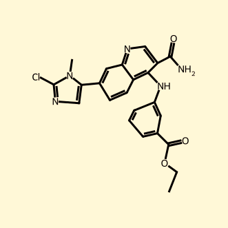 CCOC(=O)c1cccc(Nc2c(C(N)=O)cnc3cc(-c4cnc(Cl)n4C)ccc23)c1